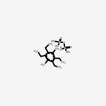 CCc1c(C)c(CC)c(CC)c(C)c1CC.O=P(O)(O)OP(=O)(O)O